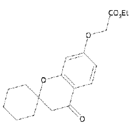 CCOC(=O)COc1ccc2c(c1)OC1(CCCCC1)CC2=O